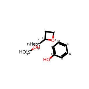 CCCCCCCC1CCO1.O=S(=O)(O)O.Oc1ccccc1